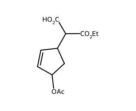 CCOC(=O)C(C(=O)O)C1C=CC(OC(C)=O)C1